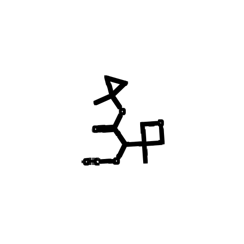 CC1(OC(=O)C(O[C]=O)C2(C)COC2)CC1